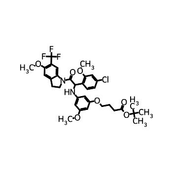 COc1cc(NC(C(=O)N2CCc3cc(OC)c(C(F)(F)F)cc32)c2ccc(Cl)cc2OC)cc(OCCCC(=O)OC(C)(C)C)c1